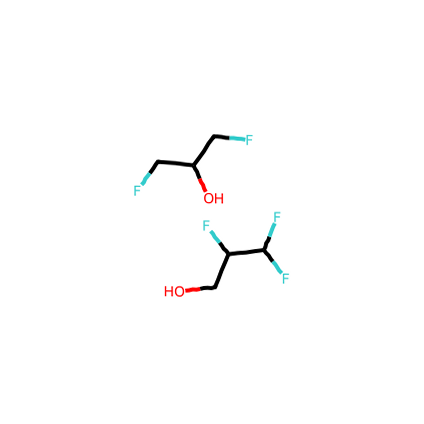 OC(CF)CF.OCC(F)C(F)F